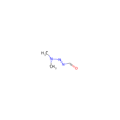 CN(C)N=NC=O